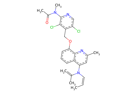 C=C(C)N(/C=C\C)c1cc(C)nc2c(OCc3c(Cl)cnc(N(C)C(C)=O)c3Cl)cccc12